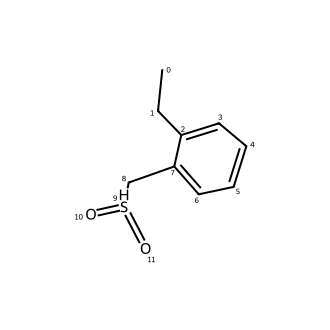 CCc1ccccc1C[SH](=O)=O